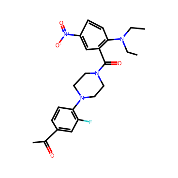 CCN(CC)c1ccc([N+](=O)[O-])cc1C(=O)N1CCN(c2ccc(C(C)=O)cc2F)CC1